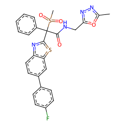 Cc1nnc(CNC(=O)C(c2ccccc2)(c2nc3ccc(-c4ccc(F)cc4)cc3s2)S(C)(=O)=O)o1